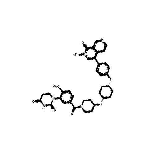 CCCCn1cc(-c2ccc(O[C@H]3CC[C@@H](OC4CCN(C(=O)c5ccc(OC)c(N6CCC(=O)NC6=O)c5)CC4)CC3)cc2)c2ccncc2c1=O